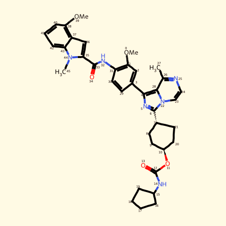 COc1cc(-c2nc([C@H]3CC[C@H](OC(=O)NC4CCCC4)CC3)n3ccnc(C)c23)ccc1NC(=O)c1cc2c(OC)cccc2n1C